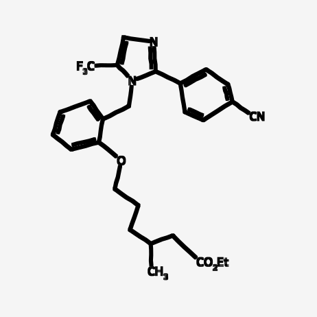 CCOC(=O)CC(C)CCCOc1ccccc1Cn1c(C(F)(F)F)cnc1-c1ccc(C#N)cc1